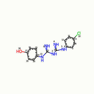 N=C(NC(=N)Nc1ccc(Cl)cc1)Nc1ccc(O)cc1